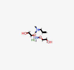 C=CCN(C)C.Cl.OCCONOCCO